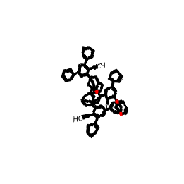 C#Cc1c(-c2ccccc2)cc(-c2ccccc2)cc1C12CC3CC(C1)CC(C14CC5CC(c6cc(-c7ccccc7)cc(-c7ccccc7)c6C#C)(CC(c6cc(-c7ccccc7)cc(-c7ccccc7)c6C#C)(C5)C1)C4)(C3)C2